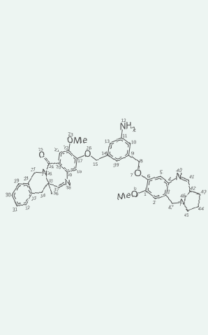 COc1cc2c(cc1OCc1cc(N)cc(COc3cc4c(cc3OC)C(=O)N3Cc5ccccc5CC3(C)C=N4)c1)N=CC1CCCN1C2